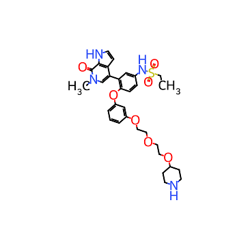 CCS(=O)(=O)Nc1ccc(Oc2cccc(OCCOCCOC3CCNCC3)c2)c(-c2cn(C)c(=O)c3[nH]ccc23)c1